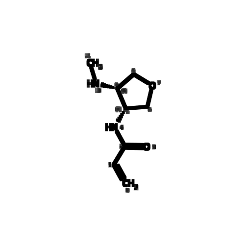 C=CC(=O)N[C@H]1COC[C@H]1NC